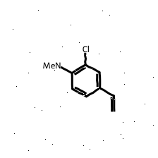 C=Cc1ccc(NC)c(Cl)c1